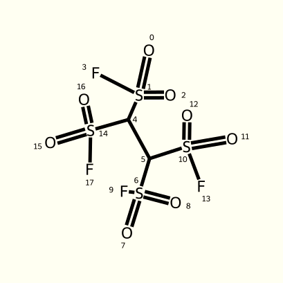 O=S(=O)(F)C(C(S(=O)(=O)F)S(=O)(=O)F)S(=O)(=O)F